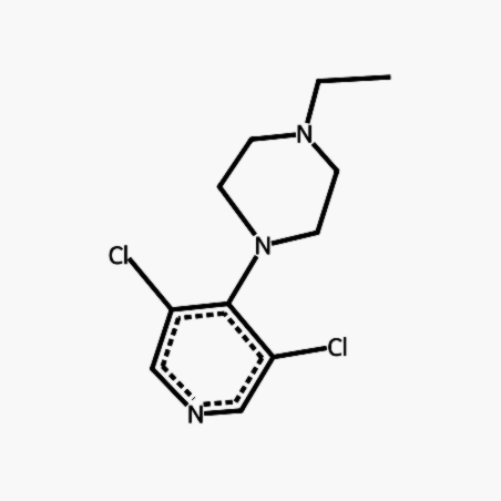 CCN1CCN(c2c(Cl)cncc2Cl)CC1